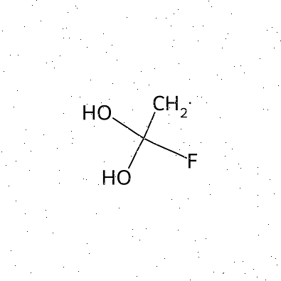 [CH2]C(O)(O)F